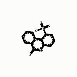 O=c1[nH]c2cccc(S(=O)(=O)Cl)c2c2ccccc12